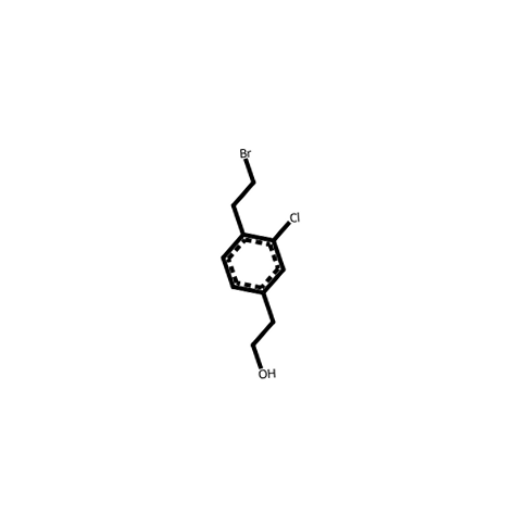 OCCc1ccc(CCBr)c(Cl)c1